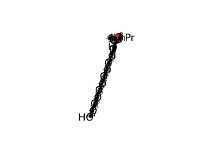 CCC[Si](C)(C)O[Si](C)(CCCOCCOCCOCCOCCOCCOCCOCCOCCOCCOCCO)O[SiH](C)C